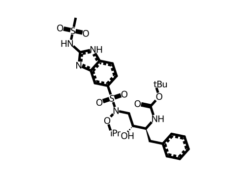 CC(C)ON(C[C@@H](O)[C@H](Cc1ccccc1)NC(=O)OC(C)(C)C)S(=O)(=O)c1ccc2[nH]c(NS(C)(=O)=O)nc2c1